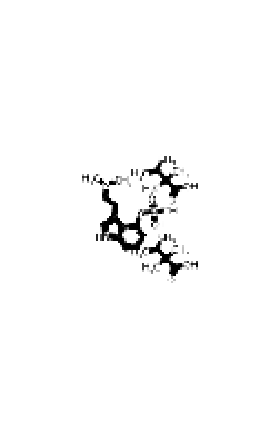 CC(C)C(C)(C)C(=O)O.CC(C)C(C)(C)C(=O)O.CN(C)CCc1c[nH]c2cccc(OP(=O)(O)O)c12